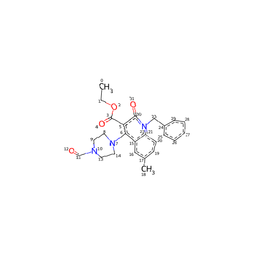 CCOC(=O)c1c(N2CCN(C=O)CC2)c2cc(C)ccc2n(Cc2ccccc2)c1=O